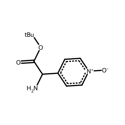 CC(C)(C)OC(=O)C(N)c1cc[n+]([O-])cc1